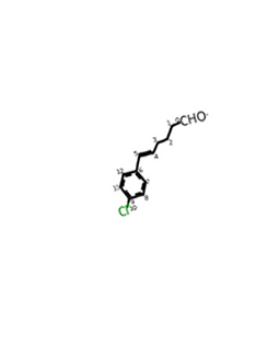 O=[C]CCCC=Cc1ccc(Cl)cc1